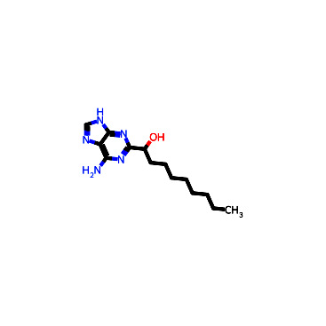 CCCCCCCCC(O)c1nc(N)c2nc[nH]c2n1